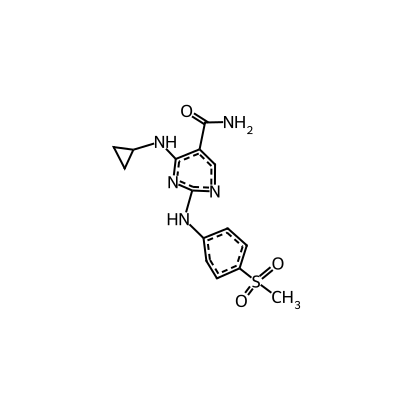 CS(=O)(=O)c1ccc(Nc2ncc(C(N)=O)c(NC3CC3)n2)cc1